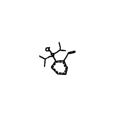 C=Cc1ccccc1[Si](Cl)(C(C)C)C(C)C